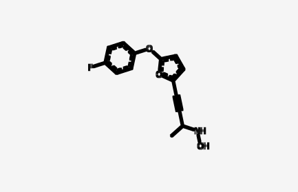 CC(C#Cc1ccc(Oc2ccc(F)cc2)o1)NO